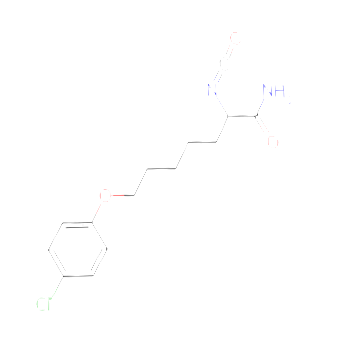 NC(=O)C(CCCCCOc1ccc(Cl)cc1)N=C=O